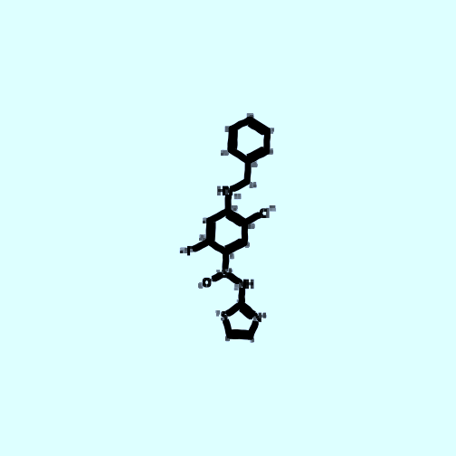 [O-][S+](Nc1nccs1)c1cc(Cl)c(NCc2ccccc2)cc1F